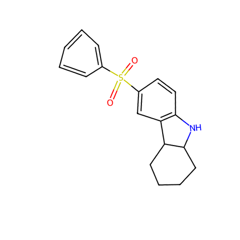 O=S(=O)(c1ccccc1)c1ccc2c(c1)C1CCCCC1N2